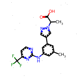 Cc1cc(Nc2nccc(C(F)(F)F)n2)cc(-c2cnn(C(C)C(=O)O)c2)c1